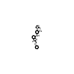 COc1cc(Nc2cccc3c2nc(COc2ccccc2)n3C)ccc1-n1ncnc1C